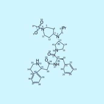 CC(C)CN(C1CCN(S(C)(=O)=O)CC1)[C@@H]1CCN(C(=O)[C@@H](CC2C=CC=CC2)NC(=O)CC2NCCc3ccccc32)C1